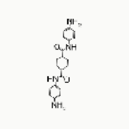 Nc1ccc(NC(=O)C2CCC(C(=O)Nc3ccc(N)cc3)CC2)cc1